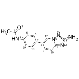 CC(=O)Nc1ccc(-c2ccc3nc(N)nn3c2)cc1